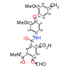 CNC(=O)c1cc(C(=O)Nc2ccc(Oc3ccc(C)cc3OC)c(OC)c2)c(C(=O)O)cc1OC=O